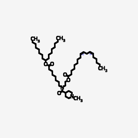 CCCCC/C=C\C/C=C\CCCCCCCC(=O)OCCN(CCCCCCCC(=O)OC(CCCCCCCC)CCCCCCCC)C(=O)C1CCN(C)CC1